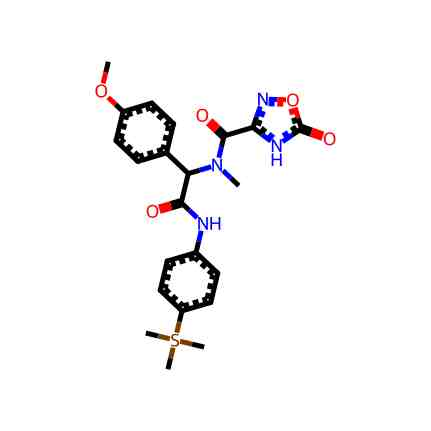 COc1ccc(C(C(=O)Nc2ccc(S(C)(C)C)cc2)N(C)C(=O)c2noc(=O)[nH]2)cc1